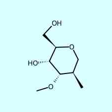 CO[C@@H]1[C@H](O)[C@@H](CO)OC[C@H]1C